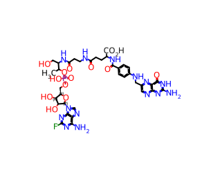 CC(OP(=O)(O)OC[C@H]1O[C@@H](n2cnc3c(N)nc(F)nc32)C(O)[C@H]1O)C(CO)NC(=O)CCNC(=O)CCC(NC(=O)c1ccc(NCc2cnc3nc(N)[nH]c(=O)c3n2)cc1)C(=O)O